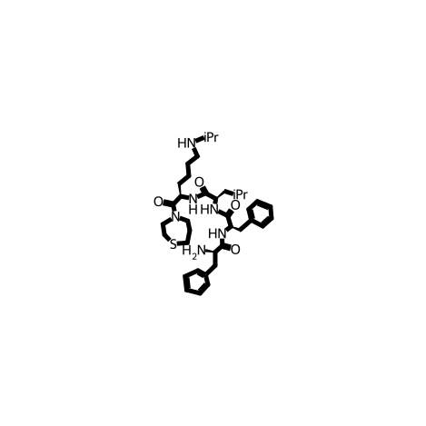 CC(C)C[C@@H](NC(=O)[C@@H](Cc1ccccc1)NC(=O)[C@H](N)Cc1ccccc1)C(=O)N[C@H](CCCCNC(C)C)C(=O)N1CCCSCC1